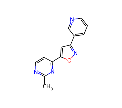 Cc1nccc(-c2cc(-c3cccnc3)no2)n1